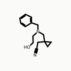 N#CCC1(CN(CCO)Cc2ccccc2)CC1